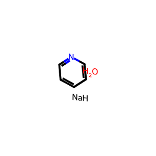 O.[NaH].c1ccncc1